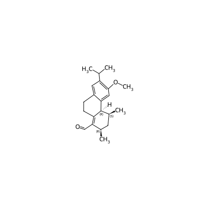 COc1cc2c(cc1C(C)C)CCC1=C(C=O)[C@H](C)C[C@H](C)[C@@H]12